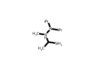 CC(C)N(C(C)C)[SiH](C)C(C)[SiH3]